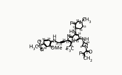 C=C(F)C(=O)N1CC(Nc2cc(N[C@@H]3CCN(C)C[C@@H]3F)c3nc(C#CCNc4ccc(S(C)(=O)=O)cc4OC)c(CC(F)(F)F)n3c2)C1